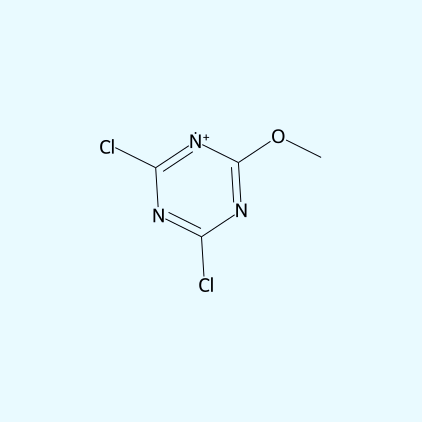 COC1=NC(Cl)=NC(Cl)=[N+]1